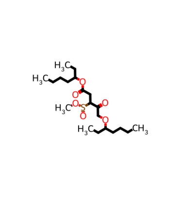 CCCCC(CC)OCC(=O)C(CC(=O)OC(CC)CCCC)S(=O)OC